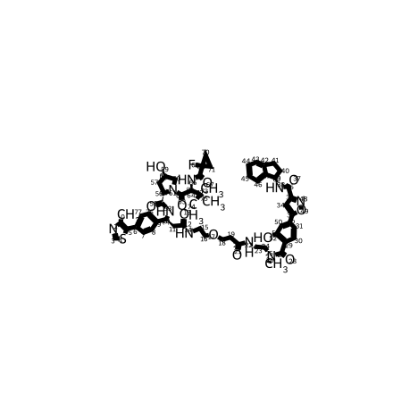 Cc1ncsc1-c1ccc([C@H](CC(=O)NCCOCCC(=O)NCCN(C)C(=O)c2ccc(-c3cc(C(=O)N[C@@H]4CCc5ccccc54)no3)cc2O)NC(=O)[C@@H]2C[C@@H](O)CN2C(=O)[C@@H](NC(=O)C2(F)CC2)C(C)(C)C)cc1